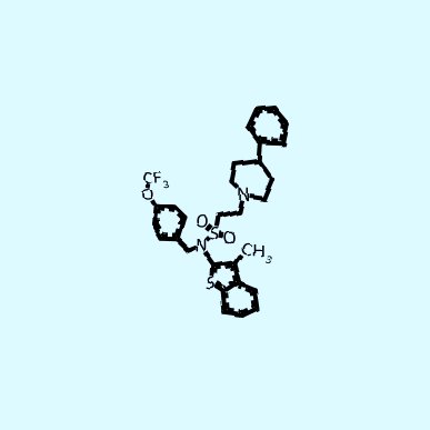 Cc1c(N(Cc2ccc(OC(F)(F)F)cc2)S(=O)(=O)CCN2CCC(c3ccccc3)CC2)sc2ccccc12